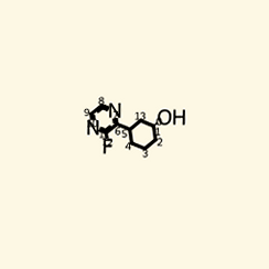 O[C@@H]1CCCC(c2nccnc2F)C1